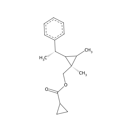 CC1C([C@H](C)c2ccccc2)[C@]1(C)COC(=O)C1CC1